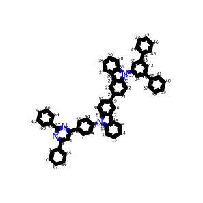 C1=CC(c2cc(-c3ccc(-n4c5ccccc5c5cc(-c6ccc7c(c6)c6ccccc6n7-c6cc(-c7ccccc7)cc(-c7ccccc7)c6)ccc54)cc3)nc(-c3ccccc3)n2)=CCC1